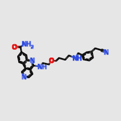 N#CCc1cccc(CNCCCCOCCNc2nc3cc(C(N)=O)ccc3c3cnccc23)c1